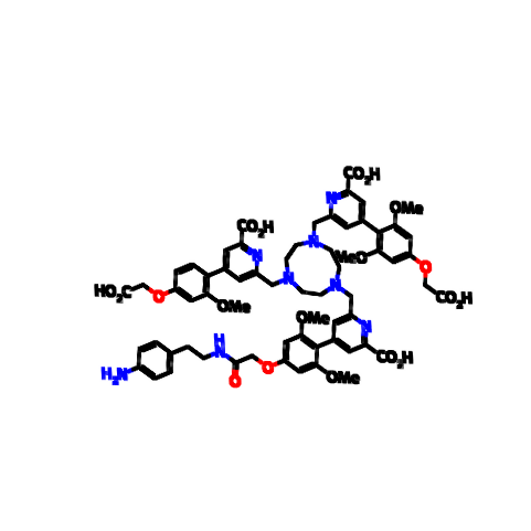 COc1cc(OCC(=O)O)ccc1-c1cc(CN2CCN(Cc3cc(-c4c(OC)cc(OCC(=O)O)cc4OC)cc(C(=O)O)n3)CCN(Cc3cc(-c4c(OC)cc(OCC(=O)NCCc5ccc(N)cc5)cc4OC)cc(C(=O)O)n3)CC2)nc(C(=O)O)c1